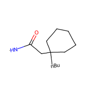 CCCCC1(CC([NH])=O)CCCCC1